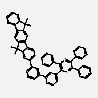 CC1(C)c2ccccc2-c2cc3c(cc21)-c1ccc(-c2cccc(-c4cccc(-c5nc(-c6ccccc6)c(-c6ccccc6)nc5-c5ccccc5)c4)c2)cc1C3(C)C